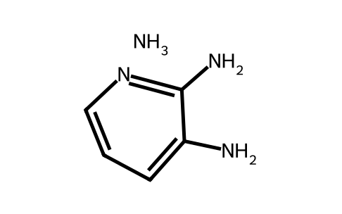 N.Nc1cccnc1N